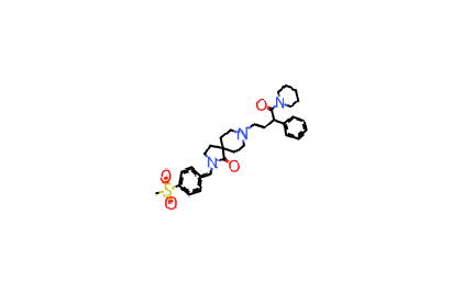 CS(=O)(=O)c1ccc(CN2CCC3(CCN(CCC(C(=O)N4CCCCC4)c4ccccc4)CC3)C2=O)cc1